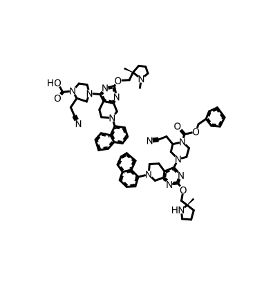 CN1CCC[C@@]1(C)COc1nc2c(c(N3CCN(C(=O)O)C(CC#N)C3)n1)CCN(c1cccc3ccccc13)C2.C[C@@]1(COc2nc3c(c(N4CCN(C(=O)OCc5ccccc5)C(CC#N)C4)n2)CCN(c2cccc4ccccc24)C3)CCCN1